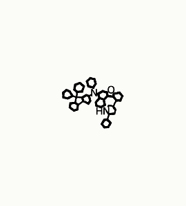 C1=C(c2ccccc2)NCC(c2cccc3oc4cc(N(c5ccccc5)c5ccc6c(c5)C(c5ccccc5)(c5ccccc5)c5ccccc5-6)c5ccccc5c4c23)=C1